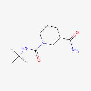 CC(C)(C)NC(=O)N1CCCC(C(N)=O)C1